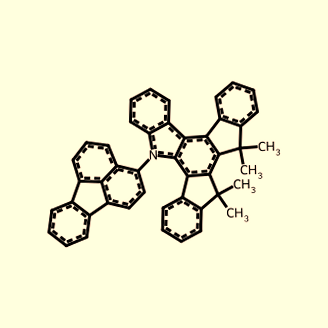 CC1(C)c2ccccc2-c2c1c1c(c3c2c2ccccc2n3-c2ccc3c4c(cccc24)-c2ccccc2-3)-c2ccccc2C1(C)C